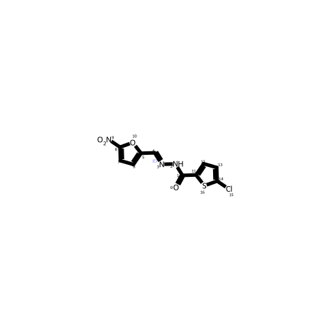 O=C(N/N=C/c1ccc([N+](=O)[O-])o1)c1ccc(Cl)s1